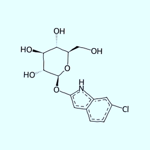 OC[C@H]1O[C@@H](Oc2cc3ccc(Cl)cc3[nH]2)[C@H](O)[C@@H](O)[C@@H]1O